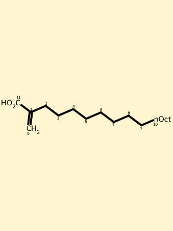 C=C(CCCCCCCCCCCCCCCC)C(=O)O